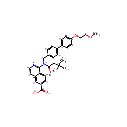 COCCOc1ccc(-c2ccc(CN(C(=O)CC(C)(C)C)c3nccc4cc(C(=O)O)ccc34)cc2)cc1